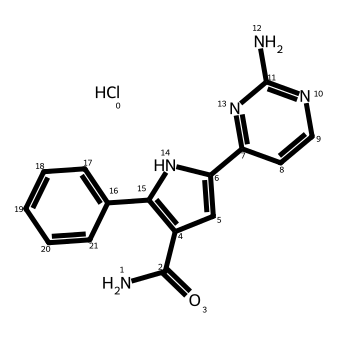 Cl.NC(=O)c1cc(-c2ccnc(N)n2)[nH]c1-c1ccccc1